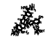 COc1ccc2ccc(S(=O)(=O)N(Cc3ccccc3N)[C@H]3CCN(Cc4cccc(C(=N)N)c4)C3=O)cc2c1.O=C(O)C(F)(F)F.O=C(O)C(F)(F)F